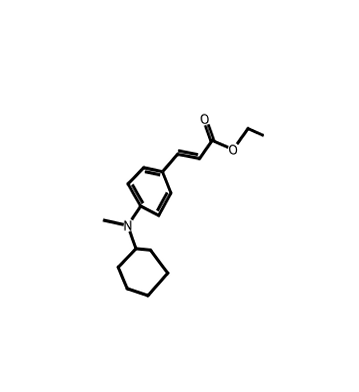 CCOC(=O)/C=C/c1ccc(N(C)C2CCCCC2)cc1